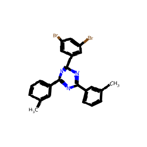 Cc1cccc(-c2nc(-c3cccc(C)c3)nc(-c3cc(Br)cc(Br)c3)n2)c1